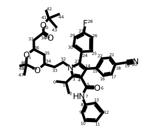 CC(C)c1c(C(=O)Nc2ccccc2)c(-c2ccc(C#N)cc2)c(-c2ccc(F)cc2)n1CCC1CC(CC(=O)OC(C)(C)C)OC(C)(C)O1